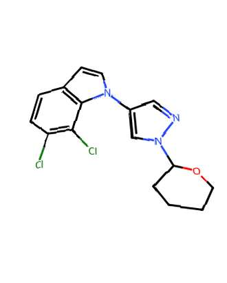 Clc1ccc2ccn(-c3cnn(C4CCCCO4)c3)c2c1Cl